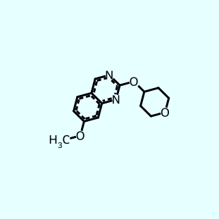 COc1ccc2cnc(OC3CCOCC3)nc2c1